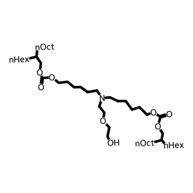 CCCCCCCCC(CCCCCC)COC(=O)OCCCCCCN(CCCCCCOC(=O)OCC(CCCCCC)CCCCCCCC)CCOCCO